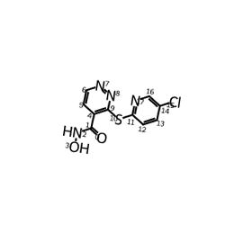 O=C(NO)c1ccnnc1Sc1ccc(Cl)cn1